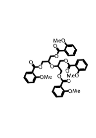 COc1ccccc1C(=O)OCC(COC(=O)c1ccccc1OC)OC(COC(=O)c1ccccc1OC)COC(=O)c1ccccc1OC